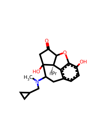 CCC[C@@]12c3c4ccc(O)c3OC1C(=O)CC2(O)C(N(C)CC1CC1)C4